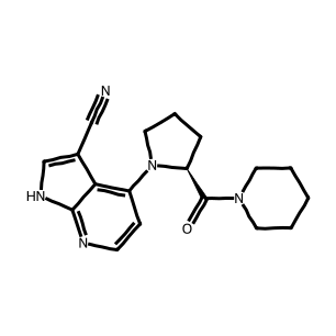 N#Cc1c[nH]c2nccc(N3CCC[C@H]3C(=O)N3CCCCC3)c12